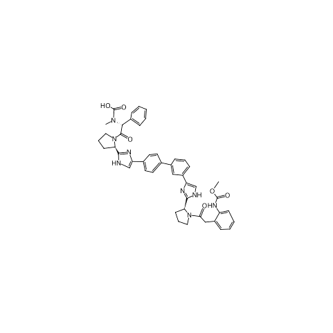 COC(=O)Nc1ccccc1CC(=O)N1CCC[C@H]1c1nc(-c2cccc(-c3ccc(-c4c[nH]c([C@H]5CCCN5C(=O)[C@@H](c5ccccc5)N(C)C(=O)O)n4)cc3)c2)c[nH]1